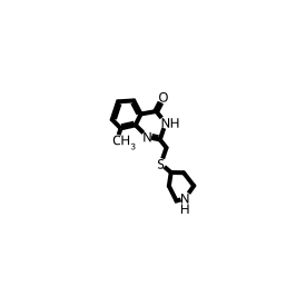 Cc1cccc2c(=O)[nH]c(CSC3CCNCC3)nc12